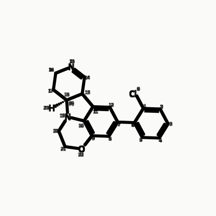 Clc1ccccc1-c1cc2c3c(c1)C1C=NCC[C@@H]1N3CCO2